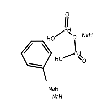 Cc1ccccc1.O=[PH](O)O[PH](=O)O.[NaH].[NaH].[NaH]